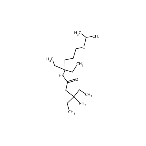 CCC(N)(CC)CC(=O)NC(CC)(CC)CCCOC(C)C